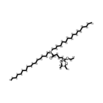 CCCCCCCCCCCCCCCCN(CCCCCCCCCCCCCCCC)C(=O)CCC[Si](OCC)(OCC)OCC